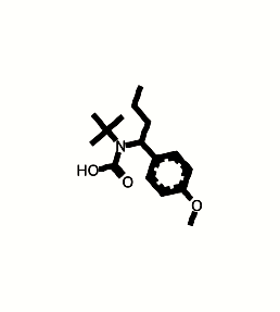 CCCC(c1ccc(OC)cc1)N(C(=O)O)C(C)(C)C